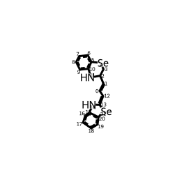 C(=CC1C[Se]c2ccccc2N1)C=C1Nc2ccccc2[Se]1